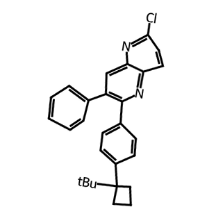 CC(C)(C)C1(c2ccc(-c3nc4ccc(Cl)nc4cc3-c3ccccc3)cc2)CCC1